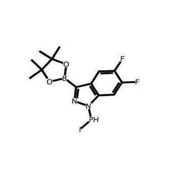 CC1(C)OB(c2nn(PI)c3cc(F)c(F)cc23)OC1(C)C